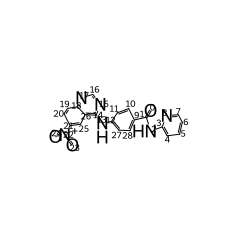 O=C(Nc1ccccn1)c1ccc(Nc2ncnc3ccc([N+](=O)[O-])cc23)cc1